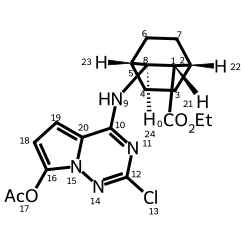 CCOC(=O)[C@H]1[C@H]2CC[C@H](CC2)[C@@H]1Nc1nc(Cl)nn2c(OC(C)=O)ccc12